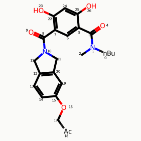 CCCCN(C)C(=O)c1cc(C(=O)N2Cc3ccc(OCC(C)=O)cc3C2)c(O)cc1O